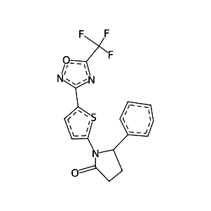 O=C1CCC(c2ccccc2)N1c1ccc(-c2noc(C(F)(F)F)n2)s1